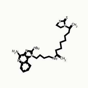 C=C(CCCCCCC(=C)N1CCSC1=S)NCCCCn1c(CCCC)nc2c(N)nc3ccccc3c21